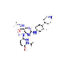 Cc1cc(Nc2ncc(C(=O)NC(C)C)c(Nc3ccc(=O)n(C(C)C)n3)n2)ccc1C1CCN(C)CC1